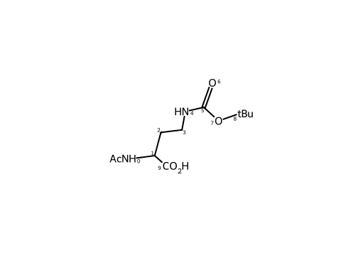 CC(=O)NC(CCNC(=O)OC(C)(C)C)C(=O)O